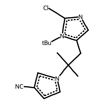 CC(C)(C)n1c(CC(C)(C)n2ccc(C#N)c2)cnc1Cl